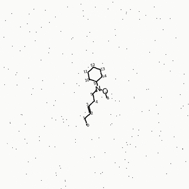 CCC=CCCN(OC)C1CCCCC1